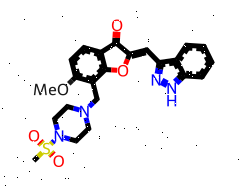 COc1ccc2c(c1CN1CCN(S(C)(=O)=O)CC1)OC(=Cc1n[nH]c3ccccc13)C2=O